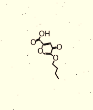 CCCCOc1coc(C(=O)O)cc1=O